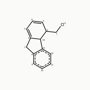 ClCC1C=CC=C2Cc3ccccc3C21